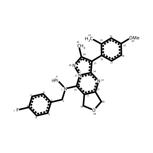 CCCN(Cc1ccc(F)cc1)c1c2c(nc3c(-c4ccc(OC)cc4C)c(C)nn13)COC2